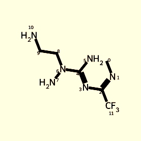 C/N=C(\N=C(/N)N(N)CCN)C(F)(F)F